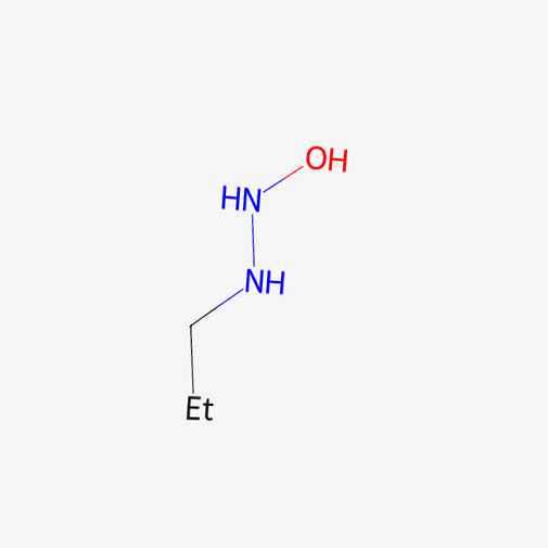 CCCNNO